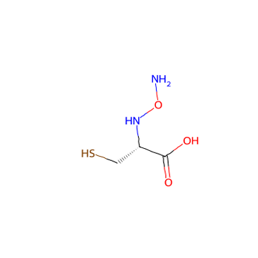 NON[C@@H](CS)C(=O)O